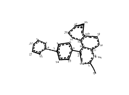 Cc1nc(-c2ccc(-c3ccccc3)cc2)c2c(ccc3ccccc32)n1